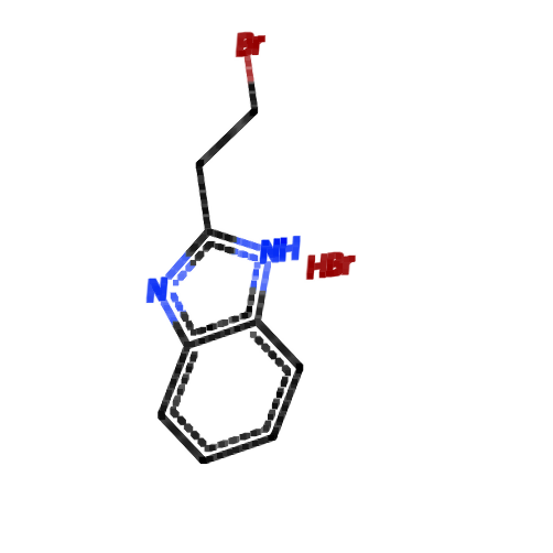 Br.BrCCc1nc2ccccc2[nH]1